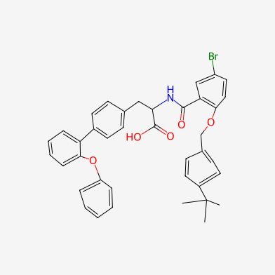 CC(C)(C)c1ccc(COc2ccc(Br)cc2C(=O)NC(Cc2ccc(-c3ccccc3Oc3ccccc3)cc2)C(=O)O)cc1